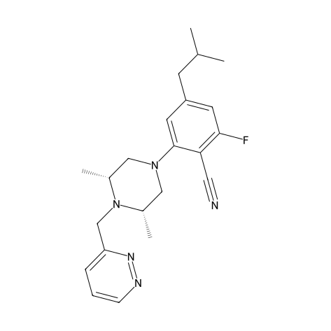 CC(C)Cc1cc(F)c(C#N)c(N2C[C@@H](C)N(Cc3cccnn3)[C@@H](C)C2)c1